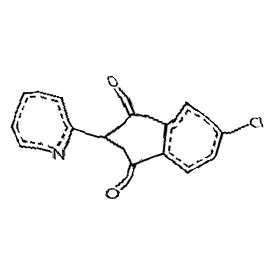 O=C1c2ccc(Cl)cc2C(=O)C1c1ccccn1